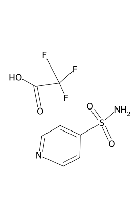 NS(=O)(=O)c1ccncc1.O=C(O)C(F)(F)F